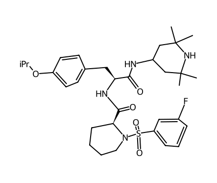 CC(C)Oc1ccc(C[C@H](NC(=O)[C@@H]2CCCCN2S(=O)(=O)c2cccc(F)c2)C(=O)NC2CC(C)(C)NC(C)(C)C2)cc1